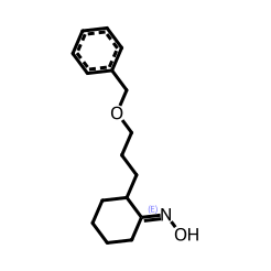 O/N=C1\CCCCC1CCCOCc1ccccc1